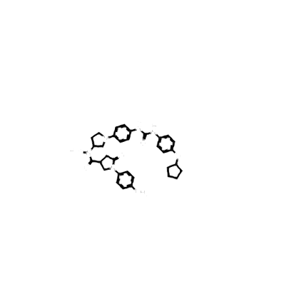 Cc1ccc(N2CC(C(=O)N(C)C3CCN(c4ccc(NC(=O)Nc5ccc(OC6CCCC6)cc5)cc4)C3)CC2=O)cc1